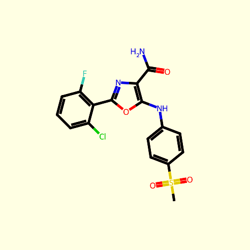 CS(=O)(=O)c1ccc(Nc2oc(-c3c(F)cccc3Cl)nc2C(N)=O)cc1